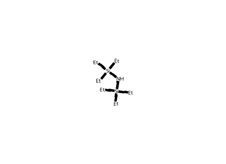 CC[Si](CC)(CC)N[Si](CC)(CC)CC